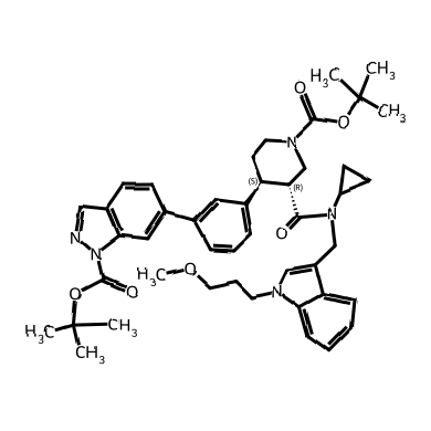 COCCCn1cc(CN(C(=O)[C@H]2CN(C(=O)OC(C)(C)C)CC[C@@H]2c2cccc(-c3ccc4cnn(C(=O)OC(C)(C)C)c4c3)c2)C2CC2)c2ccccc21